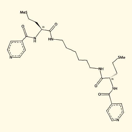 CSCC[C@H](NC(=O)c1ccncc1)C(=O)NCCCCCCNC(=O)[C@H](CCSC)NC(=O)c1ccncc1